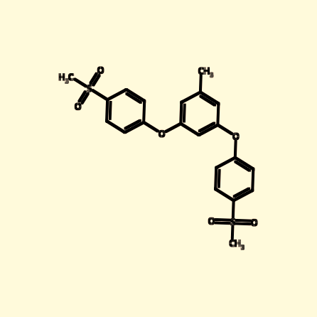 Cc1cc(Oc2ccc(S(C)(=O)=O)cc2)cc(Oc2ccc(S(C)(=O)=O)cc2)c1